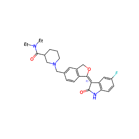 CCN(CC)C(=O)C1CCCN(Cc2ccc3c(c2)CO/C3=C2/C(=O)Nc3ccc(F)cc32)C1